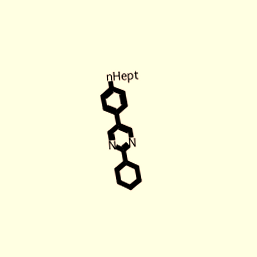 CCCCCCCc1ccc(-c2cnc(C3CCCCC3)nc2)cc1